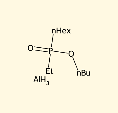 CCCCCCP(=O)(CC)OCCCC.[AlH3]